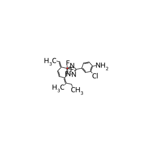 C\C=C(/C=C\C(=C(/C)CC)n1cnc(-c2ccc(N)c(Cl)c2)n1)C(F)(F)F